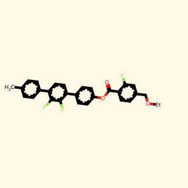 CCOCc1ccc(C(=O)Oc2ccc(-c3ccc(-c4ccc(C)cc4)c(F)c3F)cc2)c(F)c1